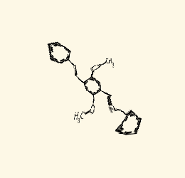 COc1cc(C=Nc2ccccc2)c(OC)cc1C=Nc1ccccc1